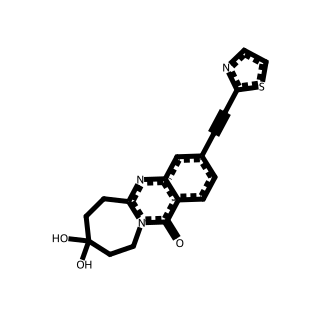 O=c1c2ccc(C#Cc3nccs3)cc2nc2n1CCC(O)(O)CC2